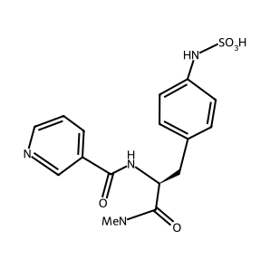 CNC(=O)[C@H](Cc1ccc(NS(=O)(=O)O)cc1)NC(=O)c1cccnc1